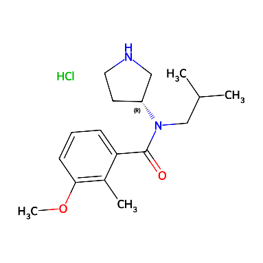 COc1cccc(C(=O)N(CC(C)C)[C@@H]2CCNC2)c1C.Cl